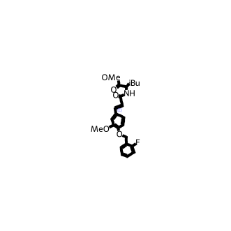 CCC(C)C(NC(=O)/C=C/c1ccc(OCc2ccccc2F)c(OC)c1)C(=O)OC